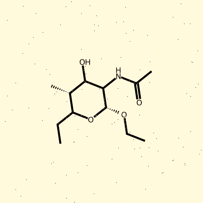 CCO[C@@H]1OC(CC)[C@H](C)C(O)C1NC(C)=O